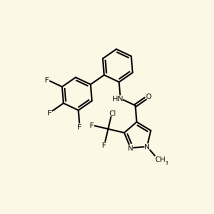 Cn1cc(C(=O)Nc2ccccc2-c2cc(F)c(F)c(F)c2)c(C(F)(F)Cl)n1